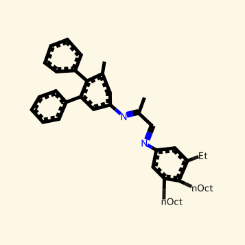 CCCCCCCCc1cc(N=CC(C)=Nc2cc(C)c(-c3ccccc3)c(-c3ccccc3)c2)cc(CC)c1CCCCCCCC